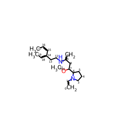 C=CN1CCCC1C(CC(=C)NCCC(/C=C\C)=C/C)OC